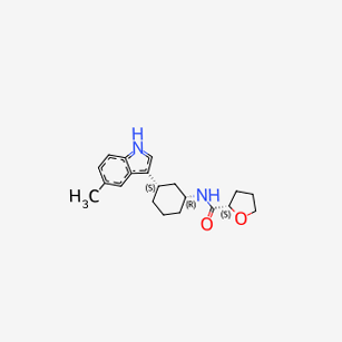 Cc1ccc2[nH]cc([C@H]3CCC[C@@H](NC(=O)[C@@H]4CCCO4)C3)c2c1